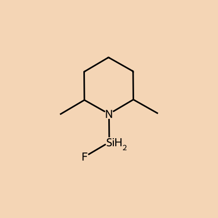 CC1CCCC(C)N1[SiH2]F